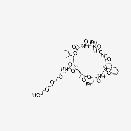 C/C=C(\C)[C@H]1OC(=O)[C@@H](C)NC(=O)[C@H](C(C)CC)NC(=O)CN(C)C(=O)[C@@H](Cc2ccccc2)N(C)C(=O)[C@H](C)NC(=O)[C@@H](CC(C)C)OC(=O)/C(C)=C/C[C@H](OC(=O)NCCOCCOCCOCCO)[C@@H]1C